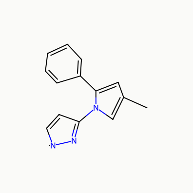 Cc1cc(-c2ccccc2)n(C2=N[N]C=C2)c1